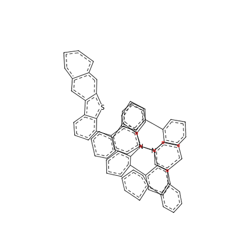 c1ccc(-c2ccccc2-c2cccc(N(c3ccccc3-c3ccccc3)c3ccccc3-c3ccccc3N(c3ccc(-c4cccc5c4sc4cc6ccccc6cc45)cc3)c3ccccc3-c3ccccc3)c2)cc1